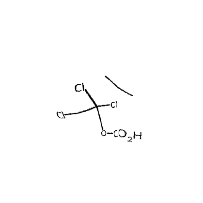 CC.O=C(O)OC(Cl)(Cl)Cl